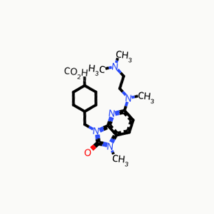 CN(C)CCN(C)c1ccc2c(n1)n(CC1CCC(C(=O)O)CC1)c(=O)n2C